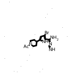 CC(=O)N1CCC(c2cc(Br)c(/C(N)=N\C=N)[nH]2)CC1